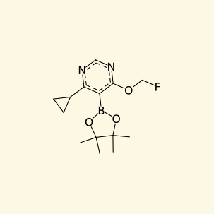 CC1(C)OB(c2c(OCF)ncnc2C2CC2)OC1(C)C